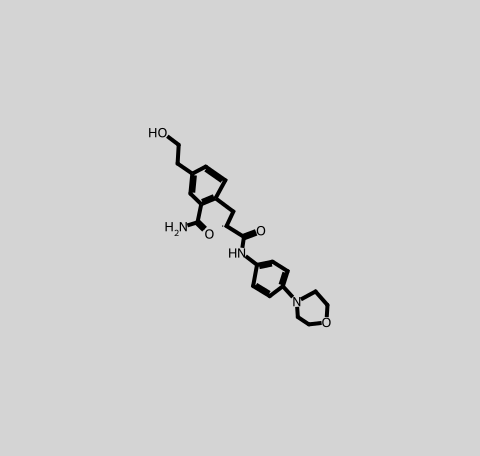 NC(=O)c1cc(CCO)ccc1C[CH]C(=O)Nc1ccc(N2CCOCC2)cc1